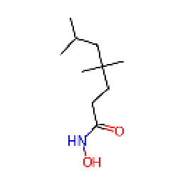 CC(C)CC(C)(C)CCC(=O)NO